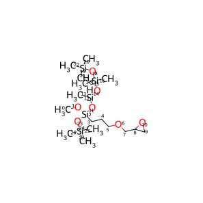 CO[Si](CCCOCC1CO1)(O[SiH](C)O[Si](C)(C)O[Si](C)(C)C)O[Si](C)(C)C